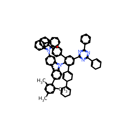 Cc1cc(C)c(-c2ccc3c(c2)c2ccc(-n4c5ccccc5c5ccccc54)cc2n3-c2c(C3=CCC(C4=CCCC=C4)C=C3)cc(-c3nc(C4=CCCC=C4)nc(-c4ccccc4)n3)cc2-c2ccc(-c3ccccc3)cc2)c(C)c1